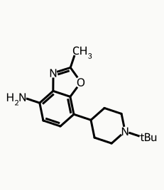 Cc1nc2c(N)ccc(C3CCN(C(C)(C)C)CC3)c2o1